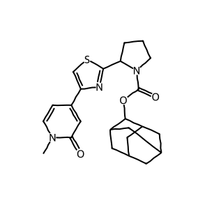 Cn1ccc(-c2csc(C3CCCN3C(=O)OC3C4CC5CC(C4)CC3C5)n2)cc1=O